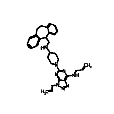 C=CCNc1nc(N2CCC(NCC3c4ccccc4CCc4ccccc43)CC2)nc2c1nnn2CC=C